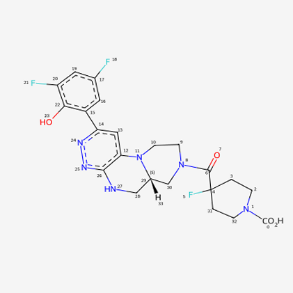 O=C(O)N1CCC(F)(C(=O)N2CCN3c4cc(-c5cc(F)cc(F)c5O)nnc4NC[C@H]3C2)CC1